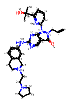 C=CCn1c(=O)c2cnc(Nc3ccc4c(c3)CN(CCN3CCCC3)CC4)nc2n1-c1cccc(C(C)(C)O)n1